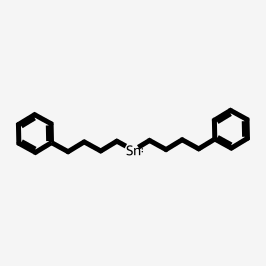 c1ccc(CCC[CH2][Sn][CH2]CCCc2ccccc2)cc1